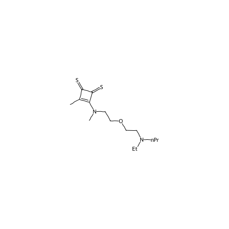 CCCN(CC)CCOCCN(C)c1c(C)c(=S)c1=S